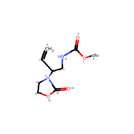 C=CC(CNC(=O)OC(C)(C)C)N1CCOC1=O